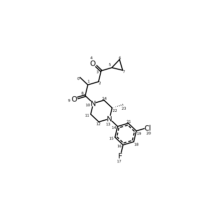 CC(CC(=O)C1CC1)C(=O)N1CCN(c2cc(F)cc(Cl)c2)[C@@H](C)C1